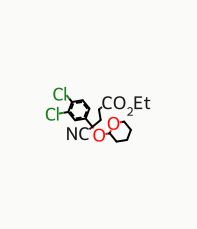 CCOC(=O)CCC(C#N)(OC1CCCCO1)c1ccc(Cl)c(Cl)c1